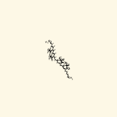 COCCCCN(CCCN(CCCCN(CCCN(CCCCOC)C(=O)C(F)(F)F)C(=O)C(F)(F)F)C(=O)C(F)(F)F)C(=O)C(F)(F)F